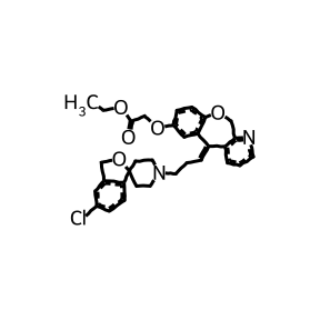 CCOC(=O)COc1ccc2c(c1)C(=CCCN1CCC3(CC1)OCc1cc(Cl)ccc13)c1cccnc1CO2